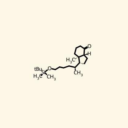 C[C@@H](CCCCO[Si](C)(C)C(C)(C)C)[C@H]1CC[C@H]2C(=O)CCC[C@]12C